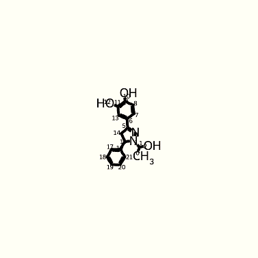 CC(O)N1N=C(c2ccc(O)c(O)c2)CC1c1ccccc1